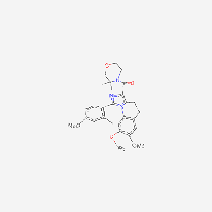 COc1ccc(-c2nc(C(=O)N3CCOCC3(C)C)c3n2-c2cc(OC(C)C)c(OC)cc2CC3)c(C)c1